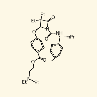 CCC[C@@H](NC(=O)N1C(=O)C(CC)(CC)[C@@H]1Oc1ccc(C(=O)OCCN(CC)CC)cc1)c1ccc(C)cc1